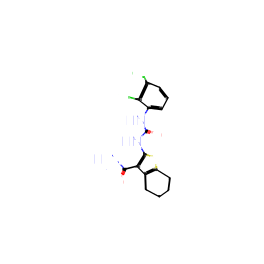 NC(=O)c1c(NC(=O)Nc2cccc(Cl)c2Cl)sc2c1CCCC2